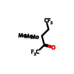 O=C(CCC(F)(F)F)C(F)(F)F.[Mo].[Mo].[Mo]